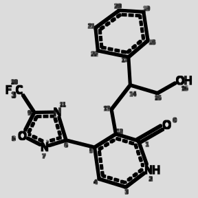 O=c1[nH]ccc(-c2noc(C(F)(F)F)n2)c1CC(CO)c1ccccc1